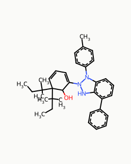 CCC(C)(C)C1(C(C)(C)CC)C=CC=C(N2Nc3c(-c4ccccc4)cccc3N2c2ccc(C)cc2)C1O